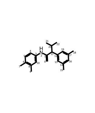 C=C(Nc1ccc(C)c(C)c1)C(c1cc(C)cc(C)c1)C(C)C